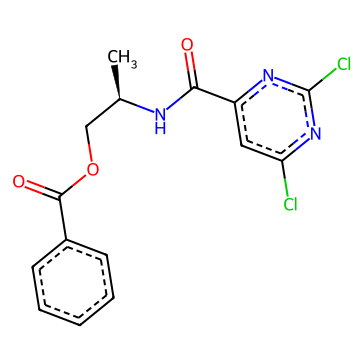 C[C@H](COC(=O)c1ccccc1)NC(=O)c1cc(Cl)nc(Cl)n1